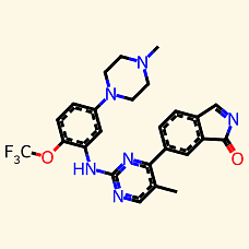 Cc1cnc(Nc2cc(N3CCN(C)CC3)ccc2OC(F)(F)F)nc1-c1ccc2c(c1)C(=O)N=C2